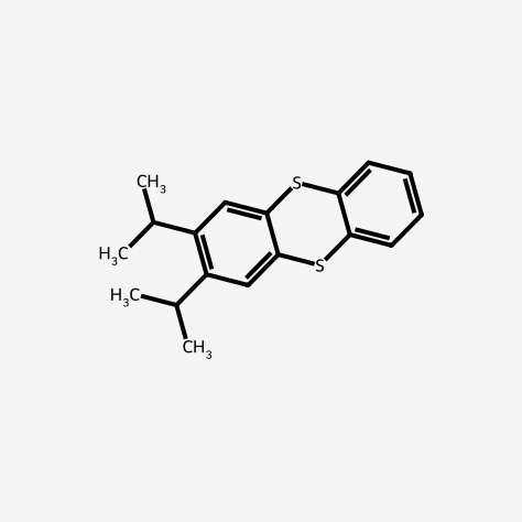 CC(C)c1cc2c(cc1C(C)C)Sc1ccccc1S2